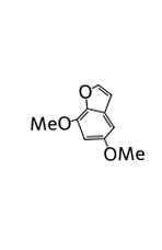 COc1cc(OC)c2occc2c1